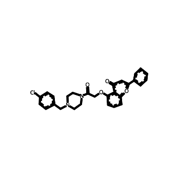 O=C(COc1cccc2oc(-c3ccccc3)cc(=O)c12)N1CCN(Cc2ccc(Cl)cc2)CC1